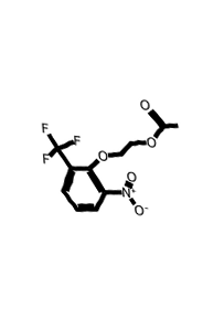 CC(=O)OCCOc1c([N+](=O)[O-])cccc1C(F)(F)F